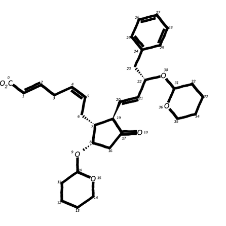 O=C(O)/C=C/C/C=C\C[C@H]1[C@@H](OC2CCCCO2)CC(=O)[C@@H]1/C=C/[C@H](Cc1ccccc1)OC1CCCCO1